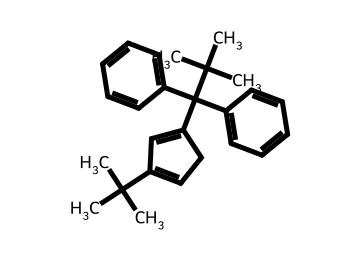 CC(C)(C)C1=CCC(C(c2ccccc2)(c2ccccc2)C(C)(C)C)=C1